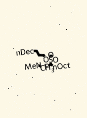 CCCCCCCCCCCCCOS(=O)(=O)C(F)CCCCCCCC.CNC